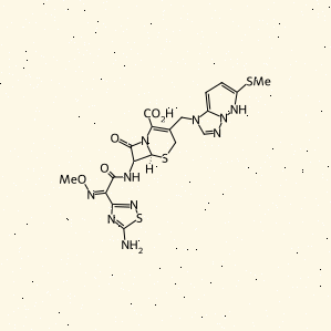 CO/N=C(\C(=O)NC1C(=O)N2C(C(=O)O)=C(CN3C=NN4NC(SC)=CC=C34)CS[C@@H]12)c1nsc(N)n1